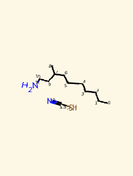 CCCCCCCC(C)CCN.N#CS